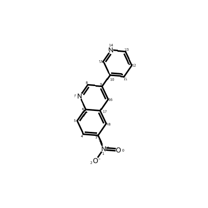 O=[N+]([O-])c1ccc2ncc(-c3cccnc3)cc2c1